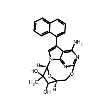 CC1(O)C(O)[C@H]2COc3nc(N)c4c(-c5cccc6ccccc56)cn(c4n3)[C@@H]1O2